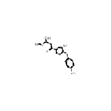 CC(=O)SC(CC(=O)c1ccc(Oc2ccc(C)cc2)cc1)C(=O)[O-].[Na+]